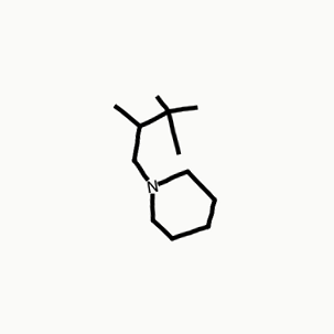 CC(CN1CCCCC1)C(C)(C)C